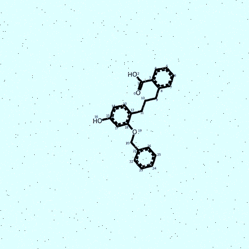 O=C(O)c1ccccc1CCCc1ccc(O)cc1OCc1ccccc1